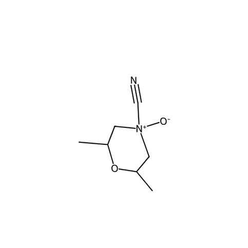 CC1C[N+]([O-])(C#N)CC(C)O1